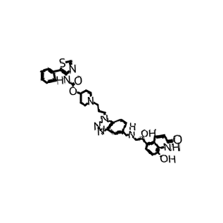 O=C(Nc1ncsc1-c1ccccc1)OC1CCN(CCCn2nnc3cc(CNC[C@H](O)c4ccc(O)c5[nH]c(=O)ccc45)ccc32)CC1